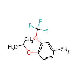 Cc1ccc(OC(C)C)c(OC(F)(F)F)c1